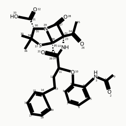 CC(=O)Nc1ccccc1OC(CCc1ccccc1)C(=O)N[C@@]1(C(C)=O)C(=O)N2[C@@H](C(=O)O)C(C)(C)S[C@@H]21